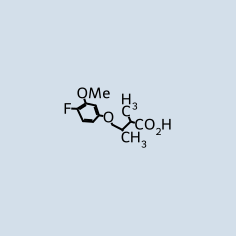 COc1cc(OCC(C)C(C)C(=O)O)ccc1F